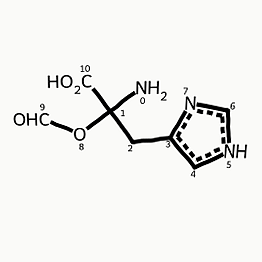 NC(Cc1c[nH]cn1)(OC=O)C(=O)O